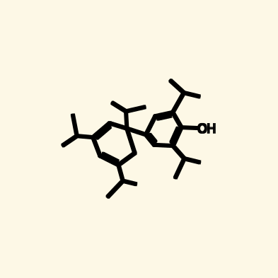 CC(C)C1=CC(c2cc(C(C)C)c(O)c(C(C)C)c2)(C(C)C)CC(C(C)C)=C1